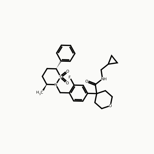 C[C@H]1CC[C@H](c2ccccc2)S(=O)(=O)N1Cc1ccc(C2(C(=O)NCC3CC3)CCOCC2)cc1F